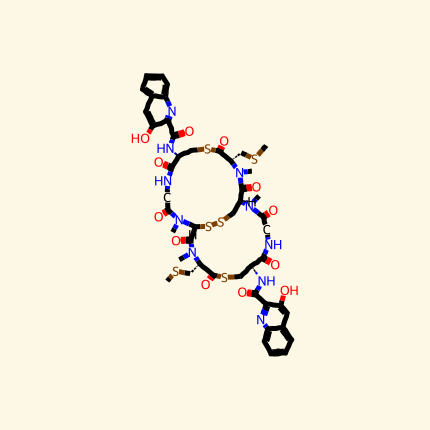 CSC[C@H]1C(=O)SC[C@@H](NC(=O)c2nc3ccccc3cc2O)C(=O)NCC(=O)N(C)[C@H]2SSC[C@@H](C(=O)N1C)N(C)C(=O)CNC(=O)[C@H](NC(=O)c1nc3ccccc3cc1O)CSC(=O)[C@H](CSC)N(C)C2=O